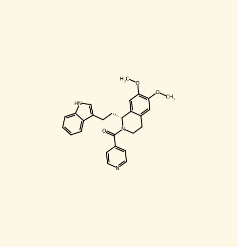 COc1cc2c(cc1OC)[C@@H](CCc1c[nH]c3ccccc13)N(C(=O)c1ccncc1)CC2